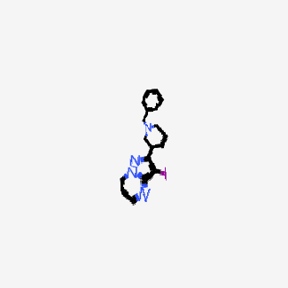 Ic1c(C2CCCN(Cc3ccccc3)C2)nn2cccnc12